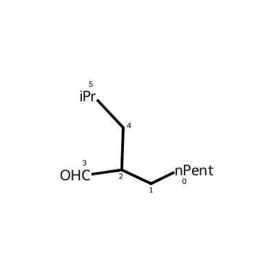 CCCCCCC(C=O)CC(C)C